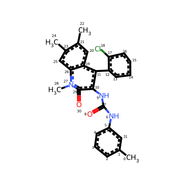 Cc1cccc(NC(=O)Nc2c(-c3ccccc3Cl)c3cc(C)c(C)cc3n(C)c2=O)c1